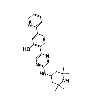 CC1(C)CC(Nc2cnc(-c3ccc(-c4ccccn4)cc3O)cn2)CC(C)(C)N1